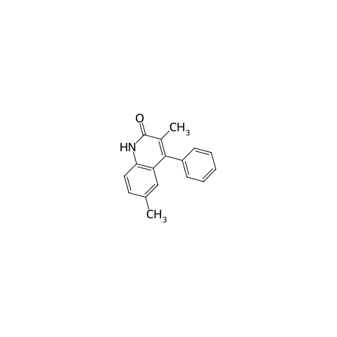 Cc1ccc2[nH]c(=O)c(C)c(-c3ccccc3)c2c1